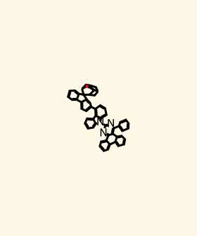 c1ccc(-c2nc(-n3c4ccccc4c4c(-c5ccc6c(c5)C5(c7ccccc7-6)C6CC7CC(C6)CC5C7)cccc43)nc3c4ccccc4c4ccccc4c23)cc1